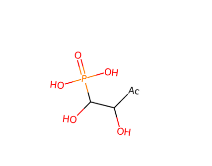 CC(=O)C(O)C(O)P(=O)(O)O